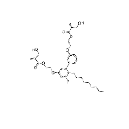 C=C(CO)C(=O)OCCOc1cccc(-c2cc(OCCOC(=O)C(=C)CO)cc(F)c2CCCCCCCCC)c1